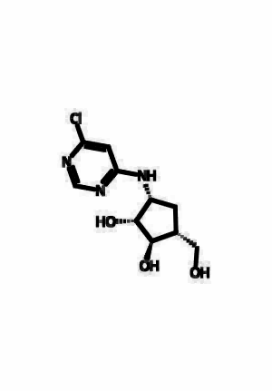 OC[C@H]1C[C@@H](Nc2cc(Cl)ncn2)[C@@H](O)[C@@H]1O